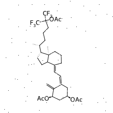 C=C1/C(=C\C=C2CCC[C@@]3(C)C2CC[C@@H]3[C@H](C)CCCC(OC(C)=O)(C(F)(F)F)C(F)(F)F)C[C@@H](OC(C)=O)C[C@H]1OC(C)=O